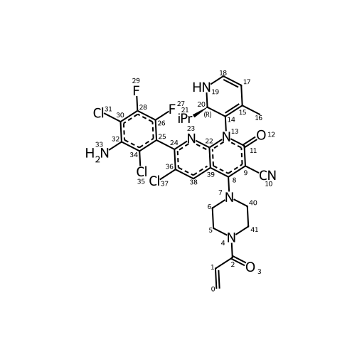 C=CC(=O)N1CCN(c2c(C#N)c(=O)n(C3=C(C)C=CN[C@@H]3C(C)C)c3nc(-c4c(F)c(F)c(Cl)c(N)c4Cl)c(Cl)cc23)CC1